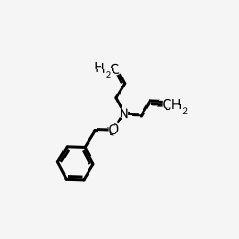 C=CCN(CC=C)OCc1ccccc1